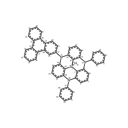 C[Si]12c3c4cccc3N(c3ccccc3)c3cccc(c31)N(c1ccc3c5ccccc5c5ccccc5c3c1)c1cccc(c12)N4c1ccccc1